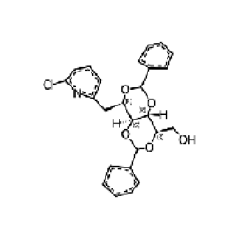 OC[C@H]1OC(c2ccccc2)O[C@@H]2[C@@H]1OC(c1ccccc1)O[C@@H]2Cc1cccc(Cl)n1